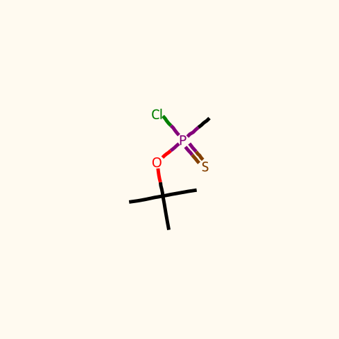 CC(C)(C)OP(C)(=S)Cl